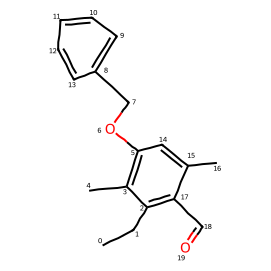 CCc1c(C)c(OCc2ccccc2)cc(C)c1C=O